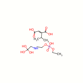 CC(C)/C(=C\C(=O)O)C(=O)O.CCOP(=O)(O)OCCNCC(O)(O)O